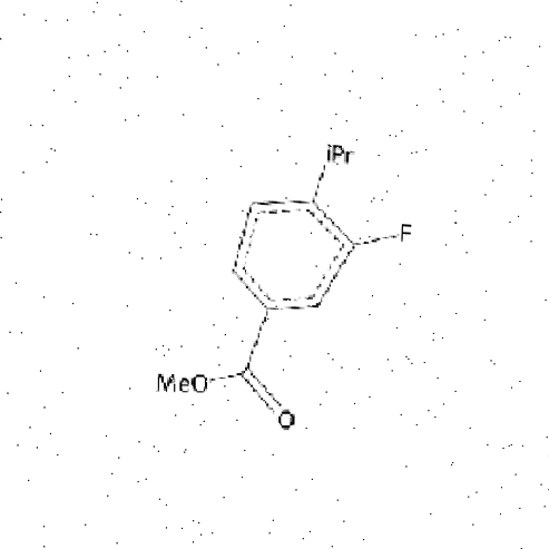 COC(=O)c1ccc(C(C)C)c(F)c1